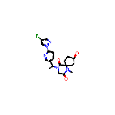 CC(c1ccc(-n2cc(F)cn2)nc1)N1CC(=O)N(C)C2(CCC(=O)CC2)C1=O